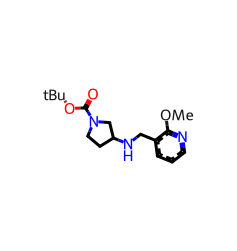 COc1ncccc1CNC1CCN(C(=O)OC(C)(C)C)C1